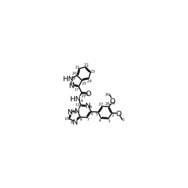 COc1ccc(-c2cc3ncnn3c(NC(=O)c3n[nH]c4c[c]ccc34)n2)cc1OC